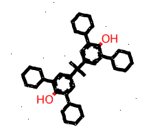 CC(C)(c1cc(C2CCCCC2)c(O)c(C2CCCCC2)c1)c1cc(C2CCCCC2)c(O)c(C2CCCCC2)c1